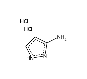 Cl.Cl.Nc1cc[nH]n1